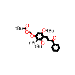 CCCc1c(OCOC(=O)C(C)(C)C)cc(OC(C)(C)C)c(C=CC(=O)c2ccccc2)c1OC(C)(C)C